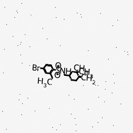 C=C1CCC(CNS(=O)(=O)c2ccc(Br)cc2CC)CC1(C)C